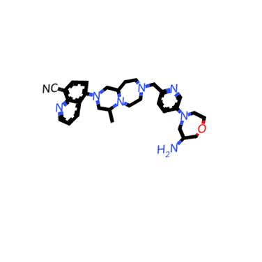 CC1CN(c2ccc(C#N)c3ncccc23)CC2CCN(Cc3ccc(N4CCOCC(N)C4)cn3)CCN12